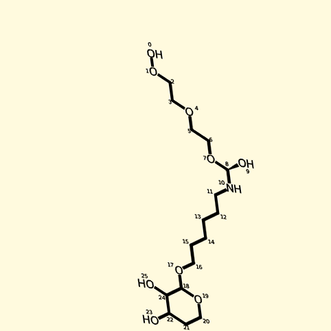 OOCCOCCO[C@@H](O)NCCCCCCOC1OCCC(O)C1O